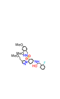 COCCc1cnn(-c2ccc(NC(O)Cc3ccccc3F)cc2S(=O)(=O)NCc2ccc(OC)cc2OC)c1